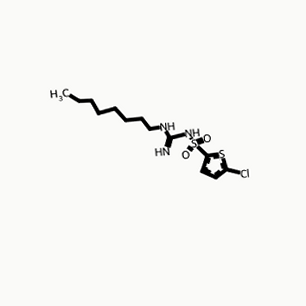 CCCCCCCCNC(=N)NS(=O)(=O)c1ccc(Cl)s1